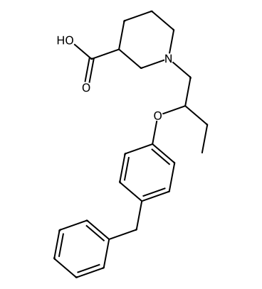 CCC(CN1CCCC(C(=O)O)C1)Oc1ccc(Cc2ccccc2)cc1